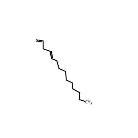 CCCCCCCCCC=CCC=S